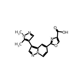 Cc1c(-c2cnn3ccc(-c4nc(C(=O)O)co4)cc23)cnn1C